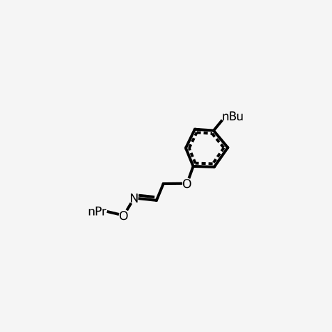 CCCCc1ccc(OCC=NOCCC)cc1